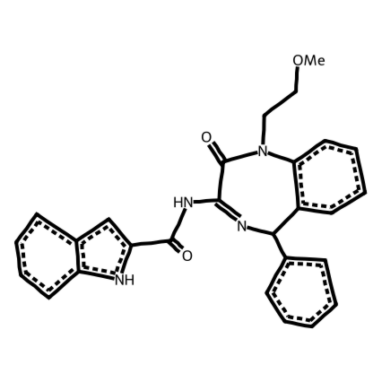 COCCN1C(=O)C(NC(=O)c2cc3ccccc3[nH]2)=NC(c2ccccc2)c2ccccc21